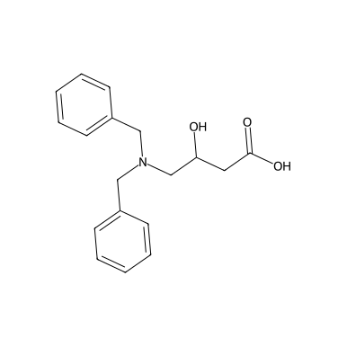 O=C(O)CC(O)CN(Cc1ccccc1)Cc1ccccc1